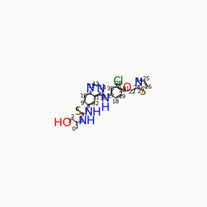 C[C@@H](CO)NC(=S)Nc1ccc2ncnc(Nc3ccc(OCc4nccs4)c(Cl)c3)c2c1